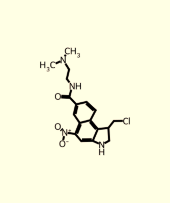 CN(C)CCNC(=O)c1ccc2c3c(cc([N+](=O)[O-])c2c1)NCC3CCl